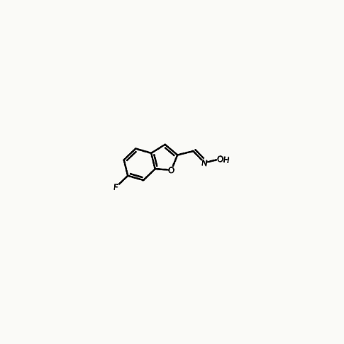 ON=Cc1cc2ccc(F)cc2o1